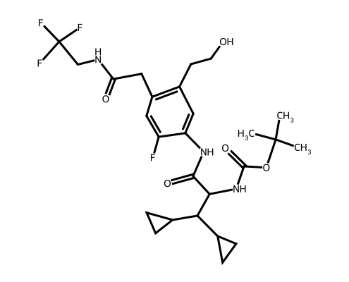 CC(C)(C)OC(=O)NC(C(=O)Nc1cc(CCO)c(CC(=O)NCC(F)(F)F)cc1F)C(C1CC1)C1CC1